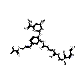 CC(C)C(=O)OC/C=C/c1ccc(OC2CC(O)CC(C(=O)O)O2)c(NC(=O)CCNC(=O)CCN(C)C(=O)/C=C\C=O)c1